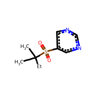 CCC(C)(C)S(=O)(=O)c1cncnc1